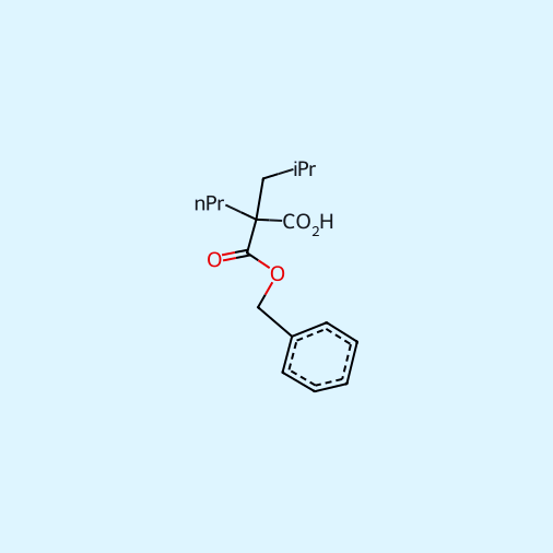 CCCC(CC(C)C)(C(=O)O)C(=O)OCc1ccccc1